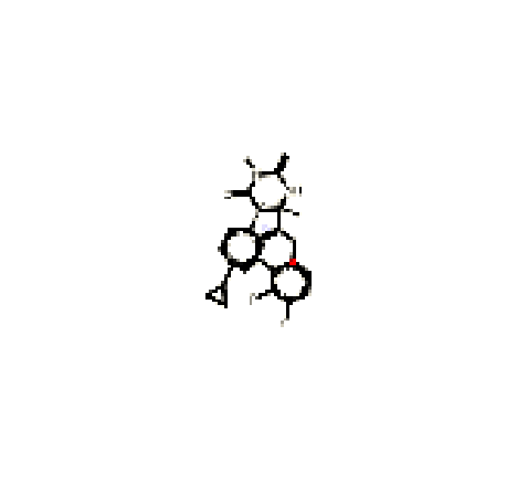 C=C(/C=C(\CCC)[C@@]1(C)NC(=C)N(C)C(=O)[C@@H]1c1ccc(C2CC2)cc1)c1cccc(O)c1F